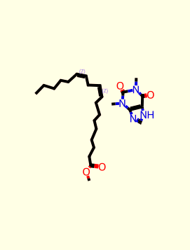 CCCCC/C=C\C/C=C\CCCCCCCC(=O)OC.Cn1c(=O)c2[nH]cnc2n(C)c1=O